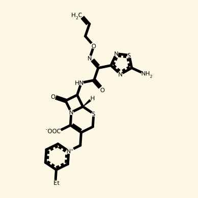 C=CCON=C(C(=O)NC1C(=O)N2C(C(=O)[O-])=C(C[n+]3cccc(CC)c3)CS[C@@H]12)c1nsc(N)n1